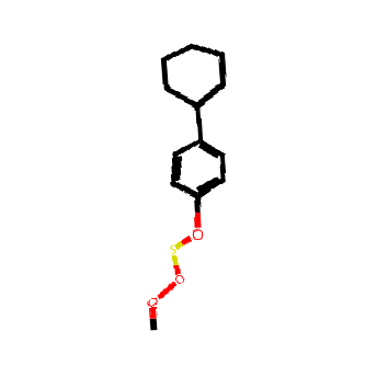 COOSOc1ccc(C2CCCCC2)cc1